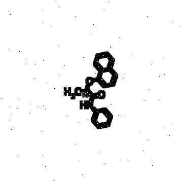 C[C@H](Oc1cccc2ccccc12)C(=O)Nc1ccccc1